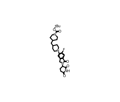 CC(C)(C)OC(=O)N1CCC(CC2CCN(c3cc4c(cc3F)C(=O)N(C3CCC(=O)NC3=O)C4)CC2)CC1